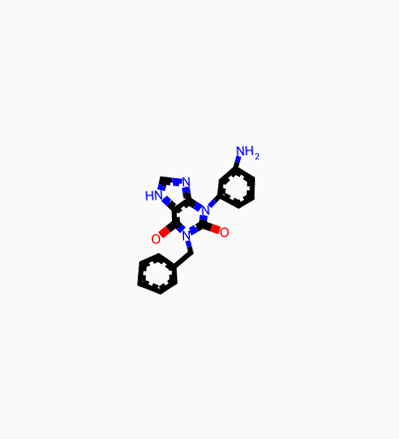 Nc1cccc(-n2c(=O)n(Cc3ccccc3)c(=O)c3[nH]cnc32)c1